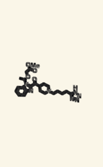 COC(=O)COC(C)n1c(C(=O)C2CCN(CCCCc3nnn[nH]3)CC2)nc2ccccc21